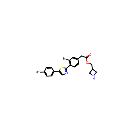 CCc1cc(CC(=O)OCC2CNC2)ccc1-c1ncc(-c2ccc(C(C)C)cc2)s1